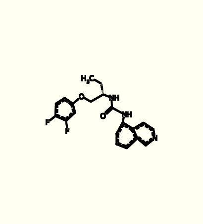 CC[C@@H](COc1ccc(F)c(F)c1)NC(=O)Nc1cccc2cnccc12